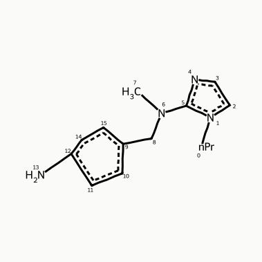 CCCn1ccnc1N(C)Cc1ccc(N)cc1